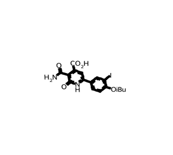 CC(C)COc1ccc(-c2cc(C(=O)O)c(C(N)=O)c(=O)[nH]2)cc1I